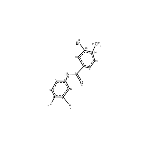 O=C(Nc1ccc(F)c(F)c1)c1ccc(C(F)(F)F)c(Br)c1